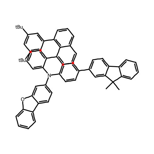 CC(C)(C)c1cc(-c2cccc3cccc(-c4ccccc4N(c4ccc(-c5ccc6c(c5)C(C)(C)c5ccccc5-6)cc4)c4ccc5c(c4)oc4ccccc45)c23)cc(C(C)(C)C)c1